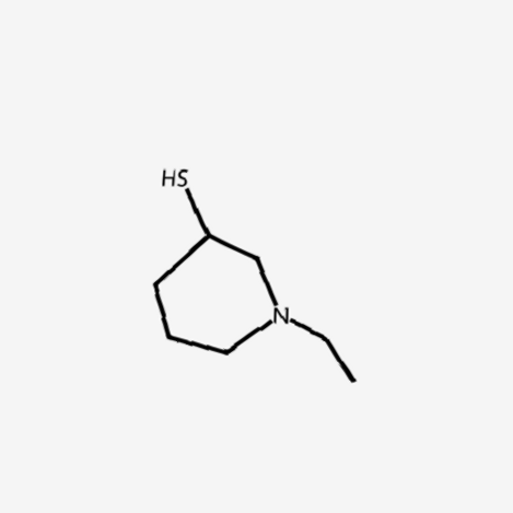 CCN1CCCC(S)C1